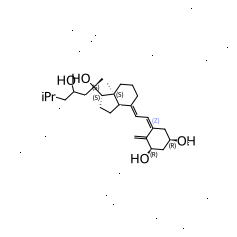 C=C1/C(=C\C=C2CCC[C@@]3(C)C2CC[C@@H]3[C@@](C)(O)CC(O)CC(C)C)C[C@@H](O)C[C@H]1O